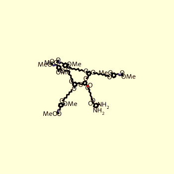 COC(=O)/C=C/c1ccc(OCCCCCCCCOc2cc(COc3cc(OCc4cc(OCCCCCCCCOc5ccc(/C=C/C(=O)OC)cc5OC)cc(OCCCCCCCCOc5ccc(/C=C/C(=O)OC)cc5OC)c4)cc(C(=O)OCCCCCCOC(=O)c4cc(N)cc(N)c4)c3)cc(OCCCCCCCCOc3ccc(/C=C/C(=O)OC)cc3OC)c2)c(OC)c1